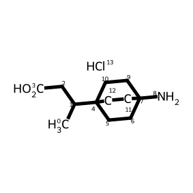 CC(CC(=O)O)C12CCC(N)(CC1)CC2.Cl